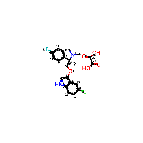 CN(C)[C@@](C)(COc1c[nH]c2ccc(Cl)cc12)c1ccc(F)cc1.O=C(O)C(=O)O